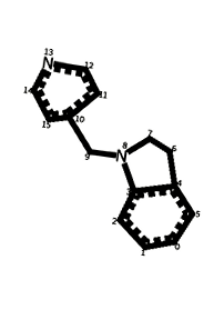 c1ccc2c(c1)CCN2Cc1ccncc1